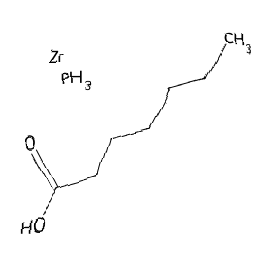 CCCCCCC(=O)O.P.[Zr]